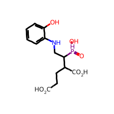 O=C(O)CCC(C(=O)O)C(CNc1ccccc1O)[PH](=O)O